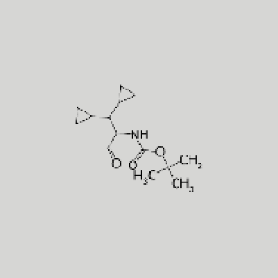 CC(C)(C)OC(=O)NC(C=O)C(C1CC1)C1CC1